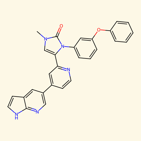 Cn1cc(-c2cc(-c3cnc4[nH]ccc4c3)ccn2)n(-c2cccc(Oc3ccccc3)c2)c1=O